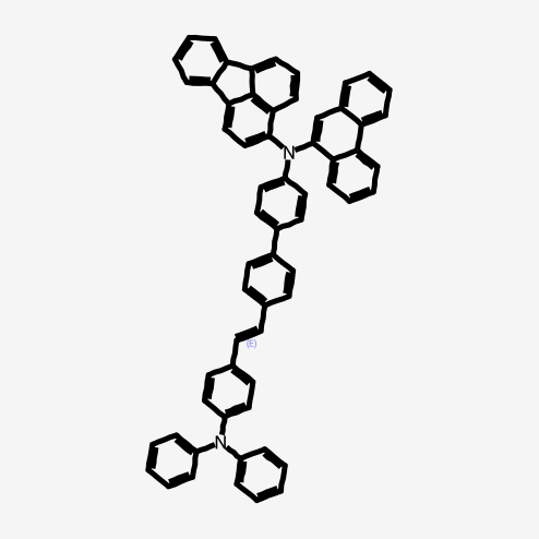 C(=C\c1ccc(N(c2ccccc2)c2ccccc2)cc1)/c1ccc(-c2ccc(N(c3ccc4c5c(cccc35)-c3ccccc3-4)c3cc4ccccc4c4ccccc34)cc2)cc1